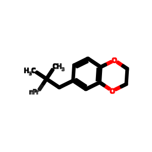 CCCC(C)(C)Cc1ccc2c(c1)OCCO2